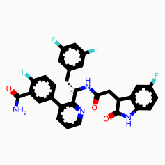 NC(=O)c1cc(-c2cccnc2[C@H](Cc2cc(F)cc(F)c2)NC(=O)CC2C(=O)Nc3ccc(F)cc32)ccc1F